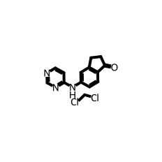 ClCCl.O=C1CCc2cc(Nc3ccncn3)ccc21